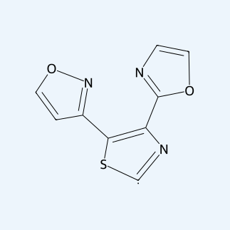 [c]1nc(-c2ncco2)c(-c2ccon2)s1